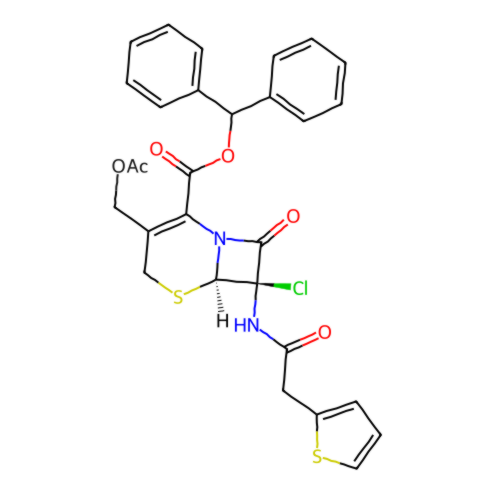 CC(=O)OCC1=C(C(=O)OC(c2ccccc2)c2ccccc2)N2C(=O)[C@](Cl)(NC(=O)Cc3cccs3)[C@H]2SC1